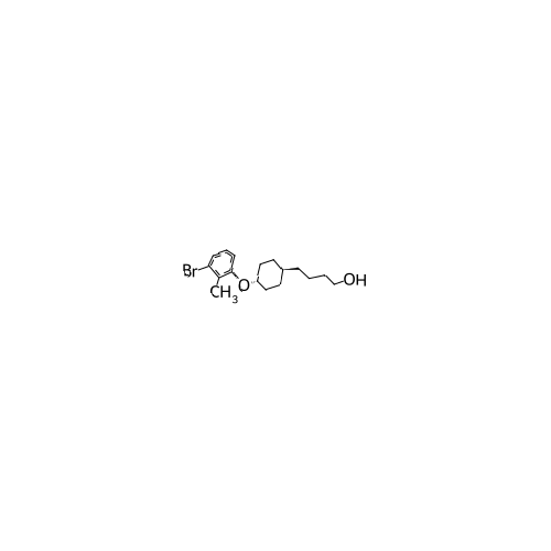 Cc1c(Br)cccc1O[C@H]1CC[C@H](CCCCO)CC1